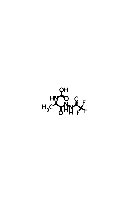 C[C@@H](NC(=O)O)C(=O)NNC(=O)C(F)(F)F